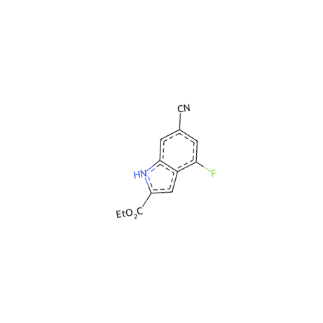 CCOC(=O)c1cc2c(F)cc(C#N)cc2[nH]1